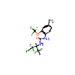 Bc1ccc(NC(=O)NC(C)(C(C)(F)F)C(F)(F)F)c(OC(F)(F)F)c1